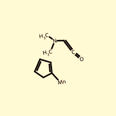 CN(C)C=C=O.[Mn][C]1=CC=CC1